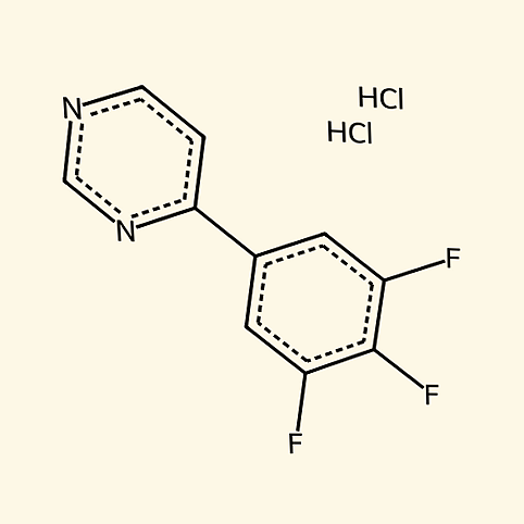 Cl.Cl.Fc1cc(-c2ccncn2)cc(F)c1F